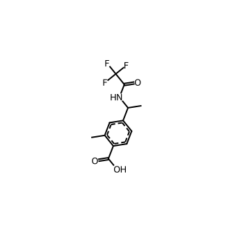 Cc1cc(C(C)NC(=O)C(F)(F)F)ccc1C(=O)O